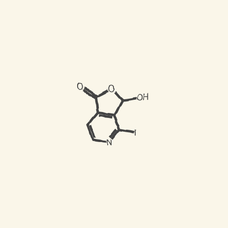 O=C1OC(O)c2c1ccnc2I